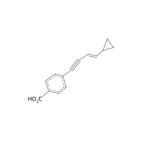 O=C(O)c1ccc(C#CC=CC2CC2)cc1